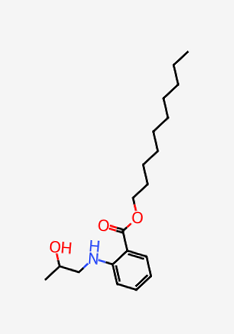 CCCCCCCCCCOC(=O)c1ccccc1NCC(C)O